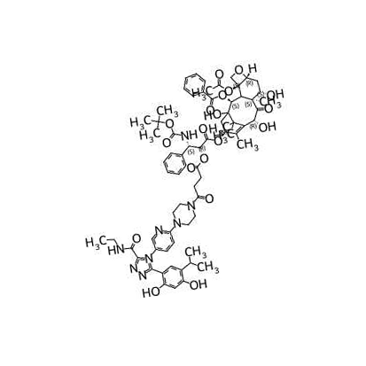 CCNC(=O)c1nnc(-c2cc(C(C)C)c(O)cc2O)n1-c1ccc(N2CCN(C(=O)CCC(=O)O[C@@H](C(=O)O[C@H]3CC4(O)[C@@H](OC(=O)c5ccccc5)C5[C@](C)(C(=O)[C@H](O)C(=C3C)C4(C)C)[C@@H](O)C[C@H]3OC[C@@]53OC(C)=O)[C@@H](NC(=O)OC(C)(C)C)c3ccccc3)CC2)nc1